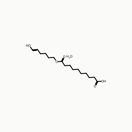 O.O=C(O)CCCCCCCCC(=O)OCCCCC=CO